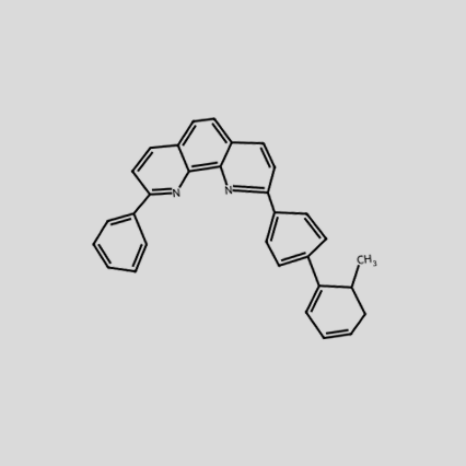 CC1CC=CC=C1c1ccc(-c2ccc3ccc4ccc(-c5ccccc5)nc4c3n2)cc1